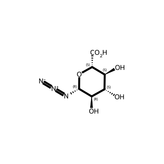 [N-]=[N+]=N[C@@H]1O[C@H](C(=O)O)[C@@H](O)[C@H](O)[C@H]1O